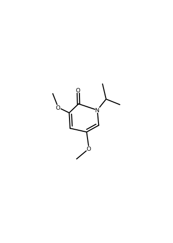 COc1cc(OC)c(=O)n(C(C)C)c1